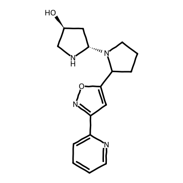 O[C@@H]1CN[C@@H](N2CCCC2c2cc(-c3ccccn3)no2)C1